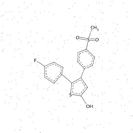 CS(=O)(=O)c1ccc(-c2cc(O)sc2-c2ccc(F)cc2)cc1